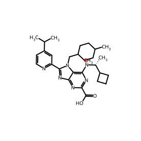 CC1CCC(Cn2c(-c3cc(C(C)C)ccn3)nc3nc(C(=O)O)nc(N(C)[C@H](C)C4CCC4)c32)CC1